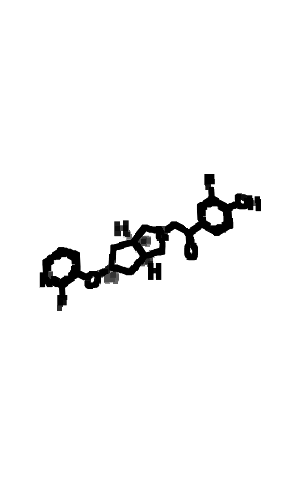 O=C(CN1C[C@H]2C[C@@H](Oc3cccnc3F)C[C@H]2C1)c1ccc(O)c(F)c1